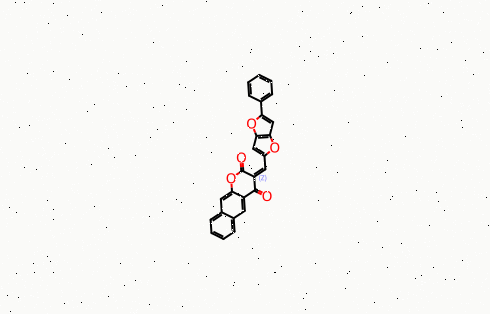 O=C1Oc2cc3ccccc3cc2C(=O)/C1=C/c1cc2oc(-c3ccccc3)cc2o1